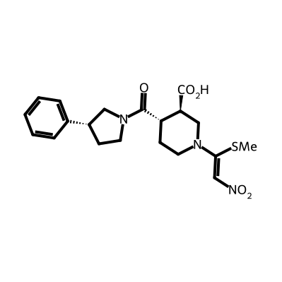 CS/C(=C\[N+](=O)[O-])N1CC[C@H](C(=O)N2CC[C@H](c3ccccc3)C2)[C@@H](C(=O)O)C1